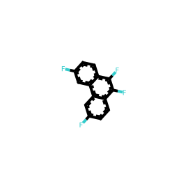 Fc1[c]cc2c(F)c(F)c3c[c]c(F)cc3c2c1